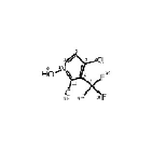 O[n+]1ccc(Cl)c(C(F)(F)F)c1Cl